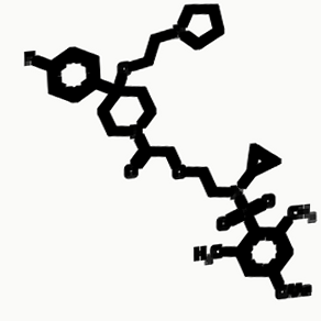 COc1cc(C)c(S(=O)(=O)N(CCOCC(=O)N2CCC(OCCN3CCCC3)(c3ccc(F)cc3)CC2)C2CC2)c(C)c1